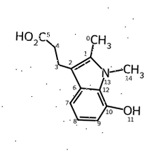 Cc1c(CCC(=O)O)c2cccc(O)c2n1C